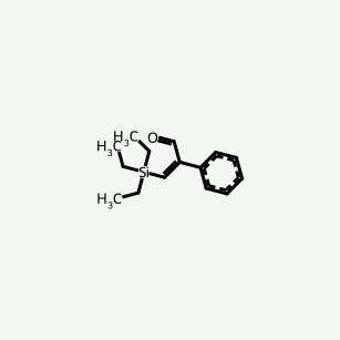 CC[Si](C=C(C=O)c1ccccc1)(CC)CC